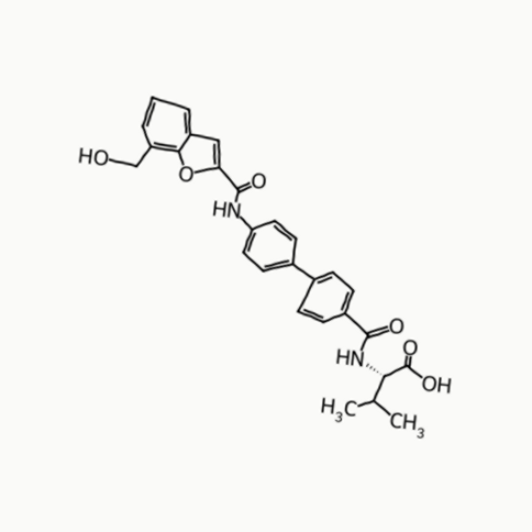 CC(C)[C@H](NC(=O)c1ccc(-c2ccc(NC(=O)c3cc4cccc(CO)c4o3)cc2)cc1)C(=O)O